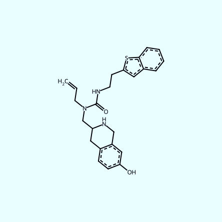 C=CCN(CC1Cc2ccc(O)cc2CN1)C(=O)NCCc1cc2ccccc2s1